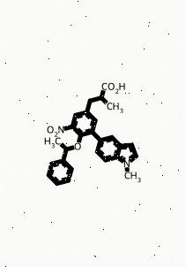 CC(Cc1cc(-c2ccc3c(ccn3C)c2)c(OC(C)c2ccccc2)c([N+](=O)[O-])c1)C(=O)O